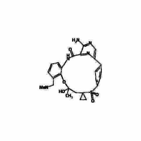 CNCc1cccc2c1OC(C)(O)CC1(CC1)S(=O)(=O)c1ccc(cc1)-c1cnc(N)c(n1)C(=O)N2